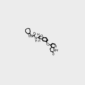 O=C1CCc2c(Oc3ccc4c(c3)[C@H]3[C@H](NC(=O)NC5CCCCCC5)[C@H]3O4)ccnc2N1